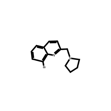 Brc1cccc2ccc(CN3CCCC3)nc12